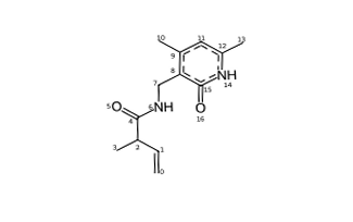 C=CC(C)C(=O)NCc1c(C)cc(C)[nH]c1=O